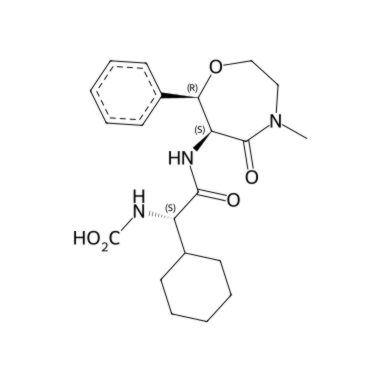 CN1CCO[C@H](c2ccccc2)[C@H](NC(=O)[C@@H](NC(=O)O)C2CCCCC2)C1=O